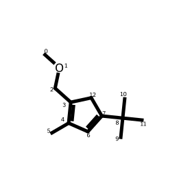 COCC1=C(C)C=C(C(C)(C)C)C1